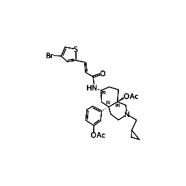 CC(=O)Oc1cccc([C@@]23CCN(CC4CC4)C[C@@]2(OC(C)=O)CC[C@@H](NC(=O)C=Cc2cc(Br)cs2)C3)c1